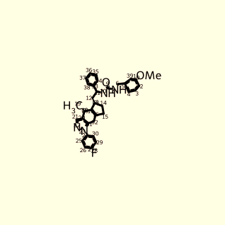 COc1cccc(CNC(=O)NC(C[C@H]2CCC3=C2[C@@H](C)c2cnn(-c4ccc(F)cc4)c2C3)c2ccccc2)c1